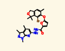 Cc1cc2c(c(Br)c1Oc1ccc(C(=O)NNc3cc(C)c4c(C)nn(C)c4n3)o1)C(C)(C)OC2